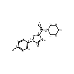 Cc1ccc(-n2cc(C(=O)N3CCCCC3)nn2)cc1